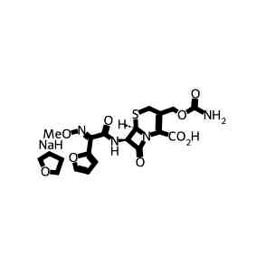 C1CCOC1.CO/N=C(/C(=O)N[C@@H]1C(=O)N2C(C(=O)O)=C(COC(N)=O)CS[C@H]12)c1ccco1.[NaH]